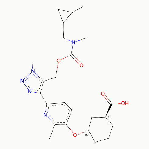 Cc1nc(-c2nnn(C)c2COC(=O)N(C)CC2CC2C)ccc1O[C@H]1CCC[C@H](C(=O)O)C1